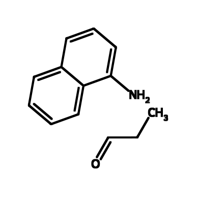 CCC=O.Nc1cccc2ccccc12